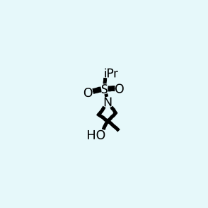 CC(C)S(=O)(=O)N1CC(C)(O)C1